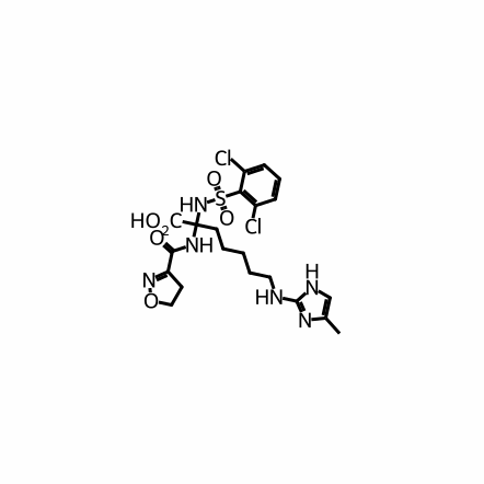 Cc1c[nH]c(NCCCCCC(NC(=O)C2=NOCC2)(NS(=O)(=O)c2c(Cl)cccc2Cl)C(=O)O)n1